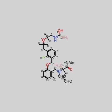 BC(O)NCC(C)(C)OC(C)(C)Cc1cccc(COc2cccc(C)c2CN(C=O)C(B)(CCC=O)C(=O)NC)c1F